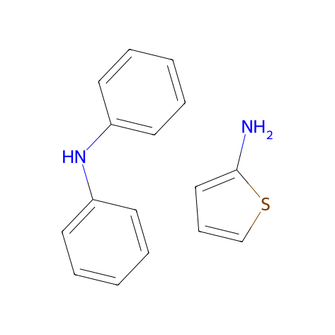 Nc1cccs1.c1ccc(Nc2ccccc2)cc1